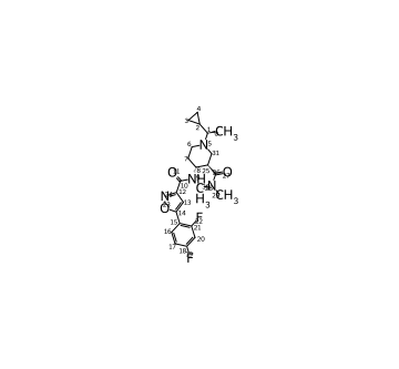 C[C@H](C1CC1)N1CC[C@@H](NC(=O)c2cc(-c3ccc(F)cc3F)on2)[C@H](C(=O)N(C)C)C1